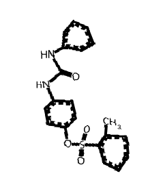 Cc1ccccc1S(=O)(=O)Oc1ccc(NC(=O)Nc2ccccc2)cc1